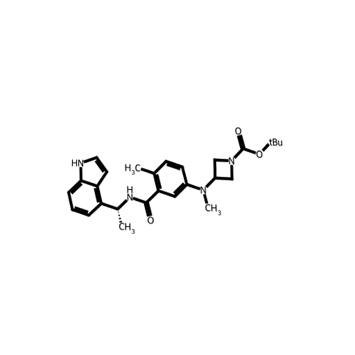 Cc1ccc(N(C)C2CN(C(=O)OC(C)(C)C)C2)cc1C(=O)N[C@H](C)c1cccc2[nH]ccc12